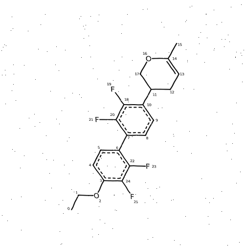 CCOc1ccc(-c2ccc(C3CC=C(C)OC3)c(F)c2F)c(F)c1F